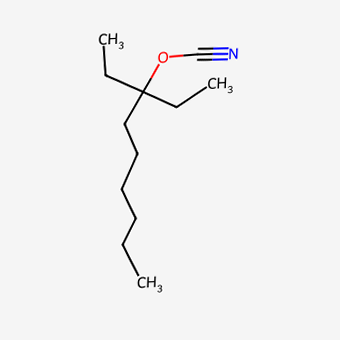 CCCCCCC(CC)(CC)OC#N